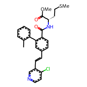 COC(=O)[C@H](CCSC)NC(=O)c1ccc(C=Cc2cnccc2Cl)cc1-c1ccccc1C